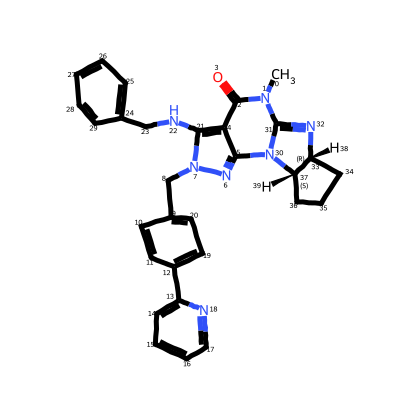 CN1C(=O)c2c(nn(Cc3ccc(-c4ccccn4)cc3)c2NCc2ccccc2)N2C1=N[C@@H]1CCC[C@@H]12